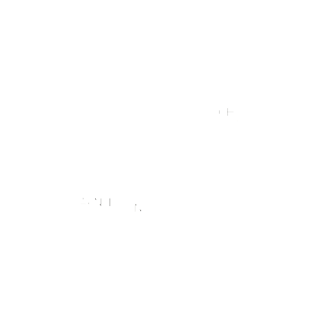 C=Cc1ccccc1C=NNC(C)=O